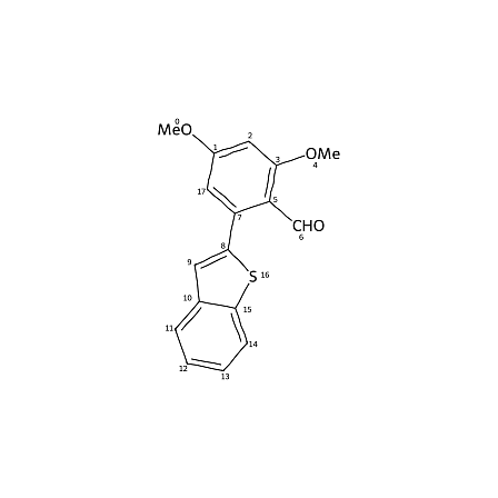 COc1cc(OC)c(C=O)c(-c2cc3ccccc3s2)c1